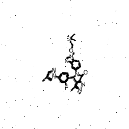 Cc1cnn(-c2ccc(C3c4c(nn(C)c4C)C(=O)N3c3ccc4c(c3)ncn4COCC[Si](C)(C)C)c(F)c2)c1